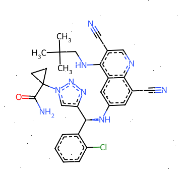 CC(C)(C)CNc1c(C#N)cnc2c(C#N)cc(N[C@H](c3cn(C4(C(N)=O)CC4)nn3)c3ccccc3Cl)cc12